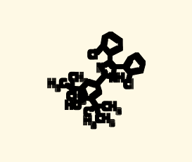 CC(C)(C)c1cc(-c2nc(-c3ccccc3Cl)c(-c3ccccc3Cl)[nH]2)cc(C(C)(C)C)c1O